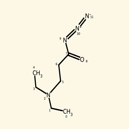 CCN(CC)CCC(=O)N=[N+]=[N-]